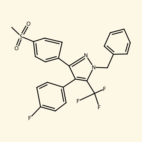 CS(=O)(=O)c1ccc(-c2nn(Cc3ccccc3)c(C(F)(F)F)c2-c2ccc(F)cc2)cc1